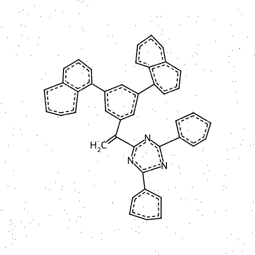 C=C(c1cc(-c2cccc3ccccc23)cc(-c2cccc3ccccc23)c1)c1nc(-c2ccccc2)nc(-c2ccccc2)n1